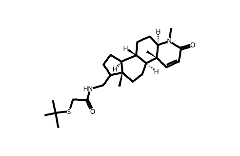 CN1C(=O)C=C[C@]2(C)[C@H]3CC[C@]4(C)C(CNC(=O)CSC(C)(C)C)CC[C@H]4[C@@H]3CC[C@@H]12